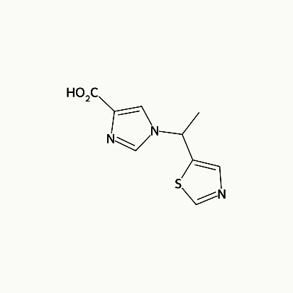 CC(c1cncs1)n1cnc(C(=O)O)c1